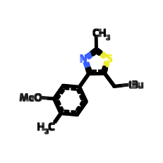 COc1cc(-c2nc(C)sc2CC(C)(C)C)ccc1C